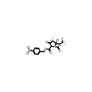 C[C@@H](F)[C@H]1C(=O)N2C(C(=O)OCc3ccc([N+](=O)[O-])cc3)C(=O)[C@H](C)[C@H]12